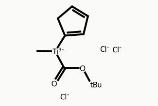 [CH3][Ti+3]([C](=O)OC(C)(C)C)[C]1=CC=CC1.[Cl-].[Cl-].[Cl-]